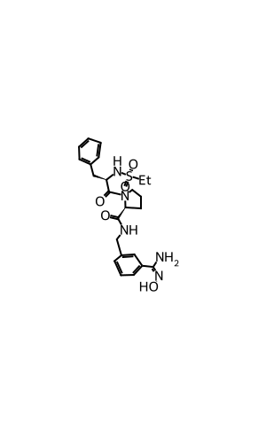 CCS(=O)(=O)N[C@H](Cc1ccccc1)C(=O)N1CCC[C@H]1C(=O)NCc1cccc(/C(N)=N\O)c1